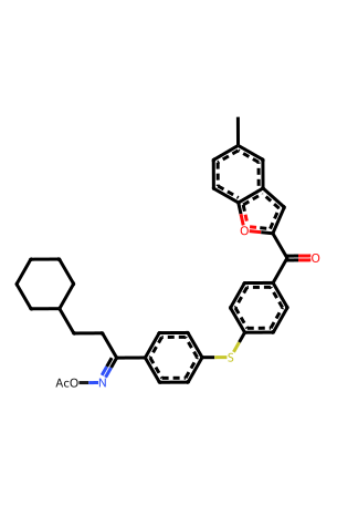 CC(=O)ON=C(CCC1CCCCC1)c1ccc(Sc2ccc(C(=O)c3cc4cc(C)ccc4o3)cc2)cc1